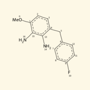 COc1ccc(Cc2ccc(F)cc2)c(N)c1N